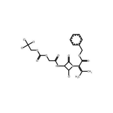 CC(C)=C(C(=O)OCc1ccccc1)N1C(=O)C(NC(=O)COC(=O)OCC(Cl)(Cl)Cl)C1Cl